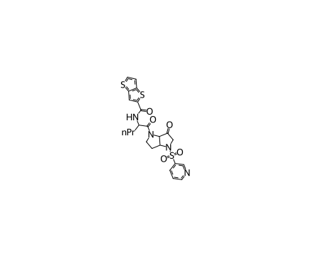 CCCC(NC(=O)c1cc2sccc2s1)C(=O)N1CCC2C1C(=O)CN2S(=O)(=O)c1cccnc1